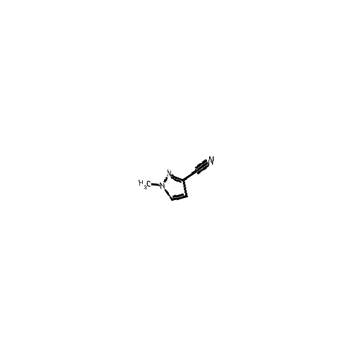 Cn1ccc(C#N)n1